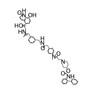 C[C@H](Cc1cccc(CCNC(=O)Cc2ccc(N(C)C(=O)CCN3CCC(OC(=O)Nc4ccccc4-c4ccccc4)CC3)cc2)c1)NC[C@H](O)c1ccc(O)c2[nH]c(=O)ccc12